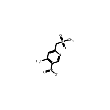 Cc1cc(CS(C)(=O)=O)ncc1[N+](=O)[O-]